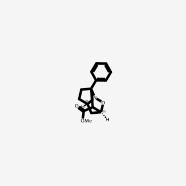 COC(=O)C1[C@@H]2C[C@H]3CCC1(c1ccccc1)N3O2